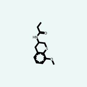 CCC(=O)NC1CSc2c(cccc2OC)C1